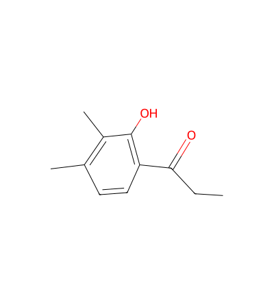 CCC(=O)c1ccc(C)c(C)c1O